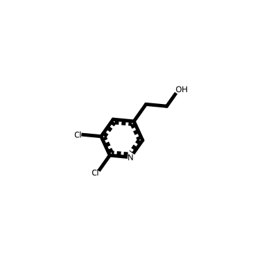 OCCc1cnc(Cl)c(Cl)c1